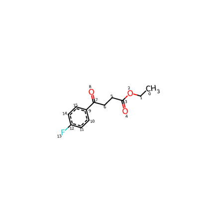 CCOC(=O)CCC(=O)c1ccc(F)cc1